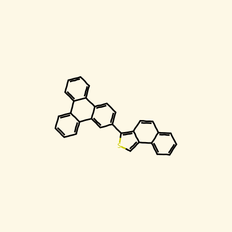 c1ccc2c(c1)ccc1c(-c3ccc4c5ccccc5c5ccccc5c4c3)scc12